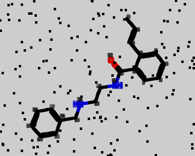 CC=Cc1ccccc1C(=O)NCCNCc1ccccc1